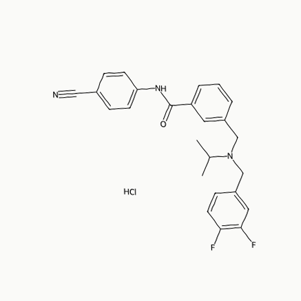 CC(C)N(Cc1cccc(C(=O)Nc2ccc(C#N)cc2)c1)Cc1ccc(F)c(F)c1.Cl